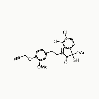 C#CCOc1ccc(CCNC(=O)C(S)(OC(C)=O)c2ccc(Cl)c(Cl)c2)cc1OC